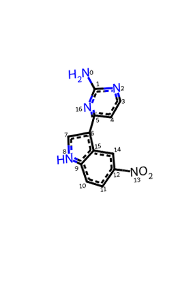 Nc1nccc(-c2c[nH]c3ccc([N+](=O)[O-])cc23)n1